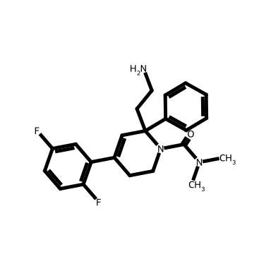 CN(C)C(=O)N1CCC(c2cc(F)ccc2F)=CC1(CCN)c1ccccc1